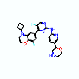 Fc1cnc(Nc2ccc(C3CNCCO3)cn2)nc1-c1cc(F)c2c(c1)N(C1CCC1)CCO2